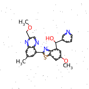 COCc1cnc2c(-c3nc4c(C(O)c5cccnc5)cc(OC)cc4s3)cc(C)cc2n1